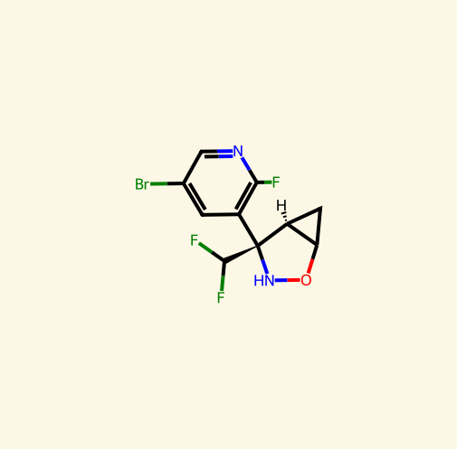 Fc1ncc(Br)cc1[C@@]1(C(F)F)NOC2C[C@@H]21